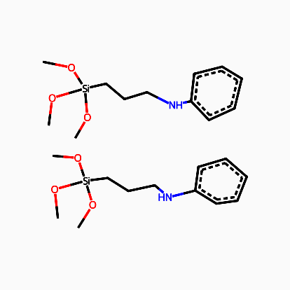 CO[Si](CCCNc1ccccc1)(OC)OC.CO[Si](CCCNc1ccccc1)(OC)OC